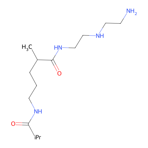 CC(C)C(=O)NCCCC(C)C(=O)NCCNCCN